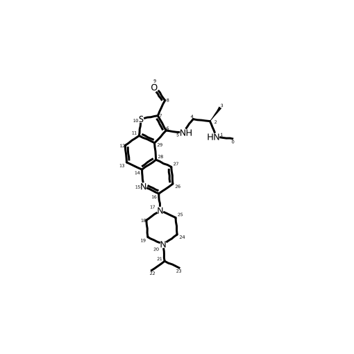 CN[C@H](C)CNc1c(C=O)sc2ccc3nc(N4CCN(C(C)C)CC4)ccc3c12